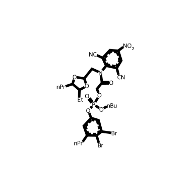 CCCCOP(=O)(OCC(=O)N(CC1OC(CC)C(CCC)O1)c1c(C#N)cc([N+](=O)[O-])cc1C#N)Oc1cc(Br)c(Br)c(CCC)c1